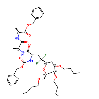 CCCCOC[C@H]1O[C@@H](C(F)(F)CC(NC(=O)OCc2ccccc2)C(=O)N[C@@H](C)C(=O)N[C@@H](C)C(=O)OCc2ccccc2)C[C@@H](OCCCC)[C@H]1OCCCC